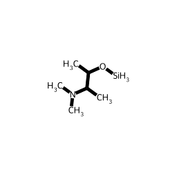 CC(O[SiH3])C(C)N(C)C